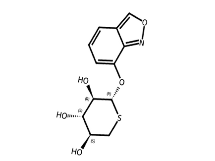 O[C@@H]1[C@@H](O)[C@H](Oc2cccc3conc23)SC[C@H]1O